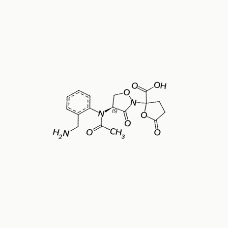 CC(=O)N(c1ccccc1CN)[C@H]1CON(C2(C(=O)O)CCC(=O)O2)C1=O